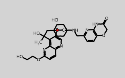 CC(O)(CC12CCC(NCc3ccc4c(n3)NC(=O)CO4)(CC1)CO2)c1c(F)cnc2ccc(OCCO)nc12.Cl